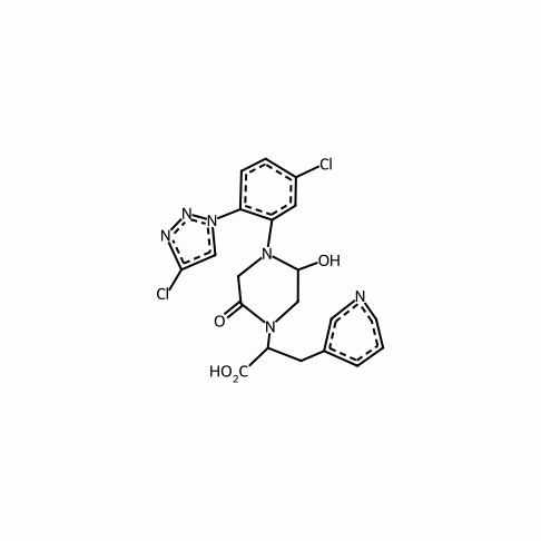 O=C(O)C(Cc1cccnc1)N1CC(O)N(c2cc(Cl)ccc2-n2cc(Cl)nn2)CC1=O